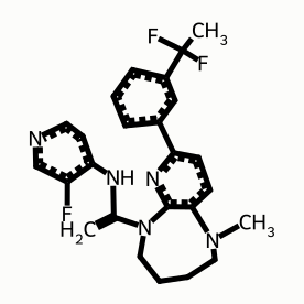 C=C(Nc1ccncc1F)N1CCCCN(C)c2ccc(-c3cccc(C(C)(F)F)c3)nc21